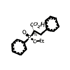 CCOP(=O)(c1ccccc1)[C@@H](Cc1ccccc1)C(=O)O